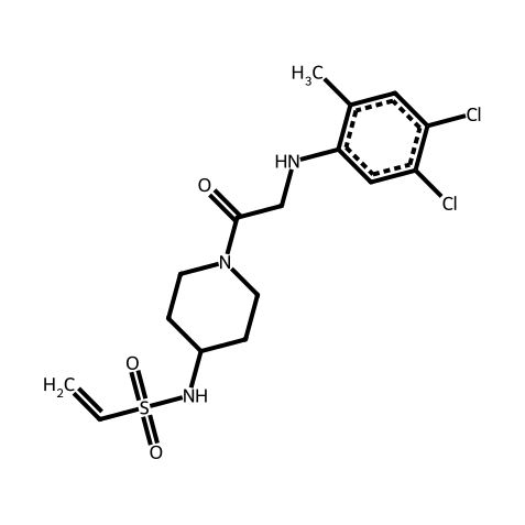 C=CS(=O)(=O)NC1CCN(C(=O)CNc2cc(Cl)c(Cl)cc2C)CC1